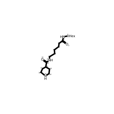 CCCCCCNC(=O)CCCCCNC(=O)C1CCNCC1